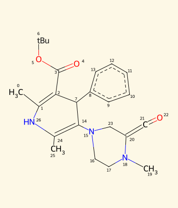 CC1=C(C(=O)OC(C)(C)C)C(c2ccccc2)C(N2CCN(C)C(=C=O)C2)=C(C)N1